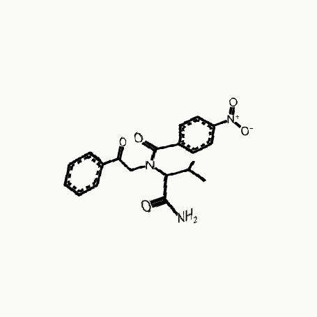 CC(C)C(C(N)=O)N(CC(=O)c1ccccc1)C(=O)c1ccc([N+](=O)[O-])cc1